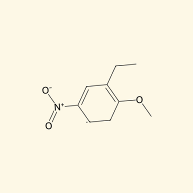 CCC1=C(OC)C[CH]C([N+](=O)[O-])=C1